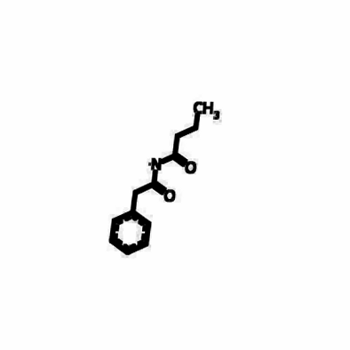 CCCC(=O)[N]C(=O)Cc1ccccc1